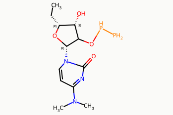 CC[C@H]1O[C@@H](n2ccc(N(C)C)nc2=O)C(OPP)[C@H]1O